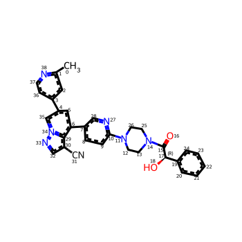 Cc1cc(-c2cc(-c3ccc(N4CCN(C(=O)[C@H](O)c5ccccc5)CC4)nc3)c3c(C#N)cnn3c2)ccn1